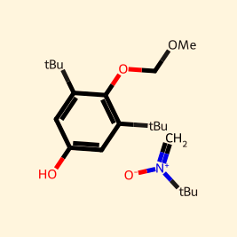 C=[N+]([O-])C(C)(C)C.COCOc1c(C(C)(C)C)cc(O)cc1C(C)(C)C